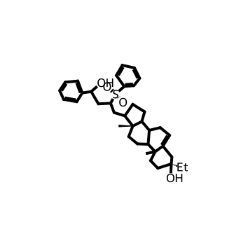 CC[C@]1(O)CCC2(C)C(=CCC3C2CC[C@]2(C)C(CC(CC(O)c4ccccc4)S(=O)(=O)c4ccccc4)CCC32)C1